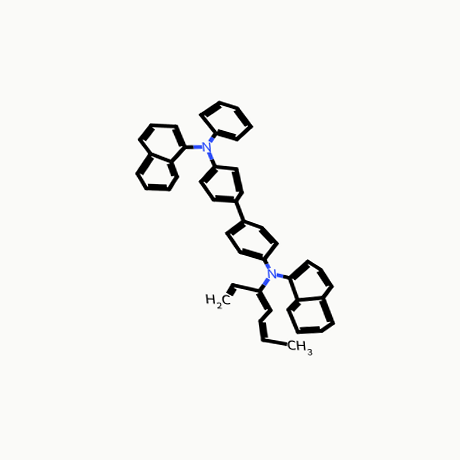 C=C/C(=C\C=C/C)N(c1ccc(-c2ccc(N(c3ccccc3)c3cccc4ccccc34)cc2)cc1)c1cccc2ccccc12